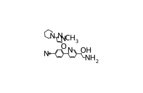 Cn1nc(N2CCCCC2)cc1Oc1cc(C#N)ccc1-c1ccc(C(O)CN)cn1